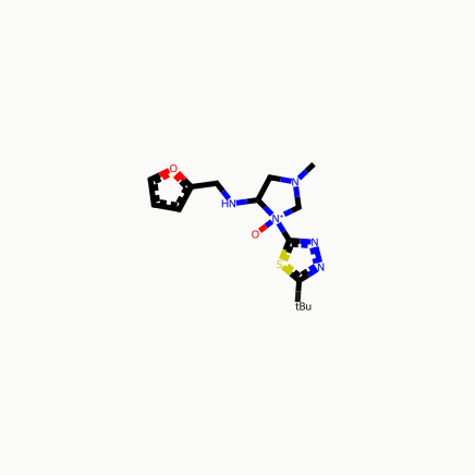 CN1CC(NCc2ccco2)[N+]([O-])(c2nnc(C(C)(C)C)s2)C1